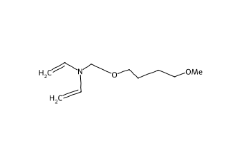 C=CN(C=C)COCCCCOC